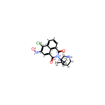 O=Nc1cc2c3c(cccc3c1Cl)C(=O)N([C@@H]1CN3CCC1CC3)C2=O